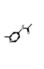 [CH2]c1cc(NC(C)=O)ccn1